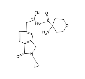 N#C[C@H](Cc1ccc2c(c1)CN(C1CC1)C2=O)NC(=O)C1(N)CCOCC1